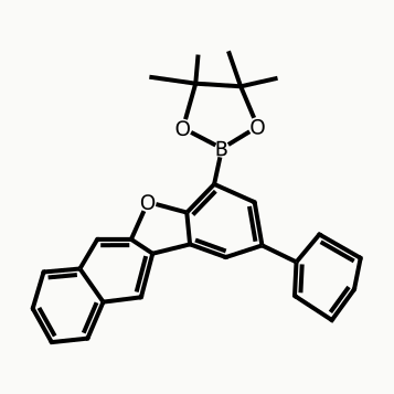 CC1(C)OB(c2cc(-c3ccccc3)cc3c2oc2cc4ccccc4cc23)OC1(C)C